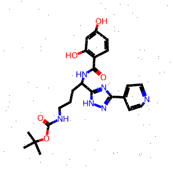 CC(C)(C)OC(=O)NCCCC(NC(=O)c1ccc(O)cc1O)c1nc(-c2ccncc2)n[nH]1